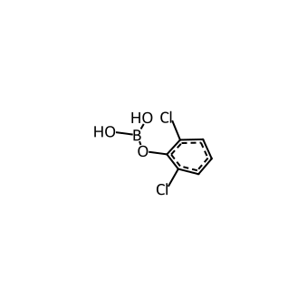 OB(O)Oc1c(Cl)cccc1Cl